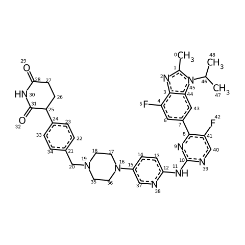 Cc1nc2c(F)cc(-c3nc(Nc4ccc(N5CCN(Cc6ccc(C7CCC(=O)NC7=O)cc6)CC5)cn4)ncc3F)cc2n1C(C)C